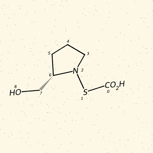 O=C(O)SN1CCC[C@H]1CO